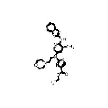 CCOC(=O)c1csc(N(CCN2CCOCC2)c2cc(C)c(Nc3nc4ccccc4s3)nn2)n1